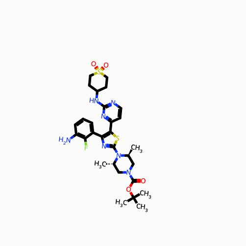 C[C@H]1CN(C(=O)OC(C)(C)C)C[C@H](C)N1c1nc(-c2cccc(N)c2F)c(-c2ccnc(NC3CCS(=O)(=O)CC3)n2)s1